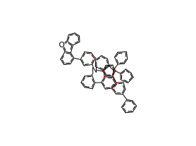 c1ccc(-c2ccc(-c3cccc(N(c4cccc(-c5cccc6oc7ccccc7c56)c4)c4ccccc4-c4cccc5c4-c4ccccc4C5(c4ccccc4)c4ccccc4)c3)cc2)cc1